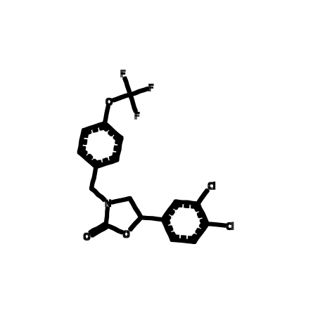 O=C1OC(c2ccc(Cl)c(Cl)c2)CN1Cc1ccc(OC(F)(F)F)cc1